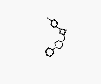 Fc1ccc(-c2cnc(CN3CCN(c4ccccc4)CC3)o2)cc1